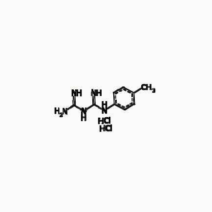 Cc1ccc(NC(=N)NC(=N)N)cc1.Cl.Cl